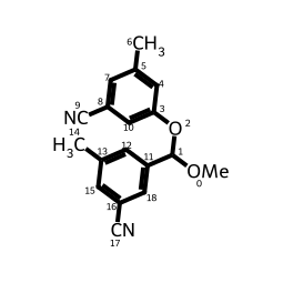 COC(Oc1cc(C)cc(C#N)c1)c1cc(C)cc(C#N)c1